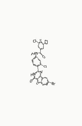 O=C(Nc1ccc(-c2nc3c(oc4ccc(Br)cc43)c(=O)[nH]2)c(Cl)c1)c1cc(Cl)nc(Cl)c1